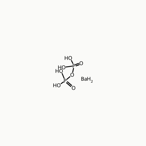 O=P(O)(O)OP(=O)(O)O.[BaH2]